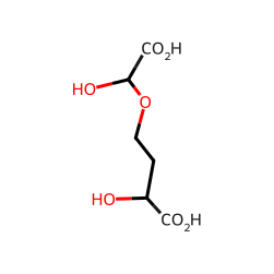 O=C(O)C(O)CCOC(O)C(=O)O